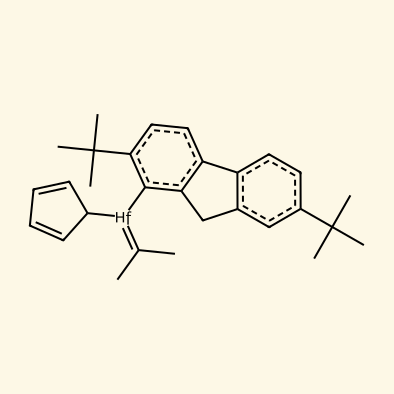 C[C](C)=[Hf]([c]1c(C(C)(C)C)ccc2c1Cc1cc(C(C)(C)C)ccc1-2)[CH]1C=CC=C1